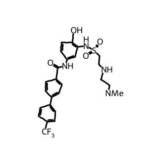 CNCCNCCS(=O)(=O)Nc1cc(NC(=O)c2ccc(-c3ccc(C(F)(F)F)cc3)cc2)ccc1O